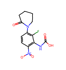 O=C(O)Nc1c([N+](=O)[O-])ccc(N2CCCCC2=O)c1F